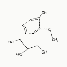 COc1ccccc1O.OCC(O)CO